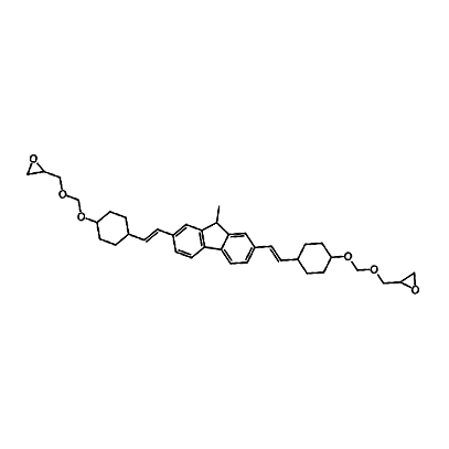 CC1c2cc(/C=C/C3CCC(OCOCC4CO4)CC3)ccc2-c2ccc(/C=C/C3CCC(OCOCC4CO4)CC3)cc21